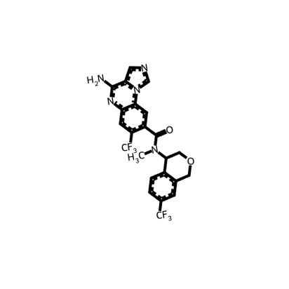 CN(C(=O)c1cc2c(cc1C(F)(F)F)nc(N)c1cncn12)C1COCc2cc(C(F)(F)F)ccc21